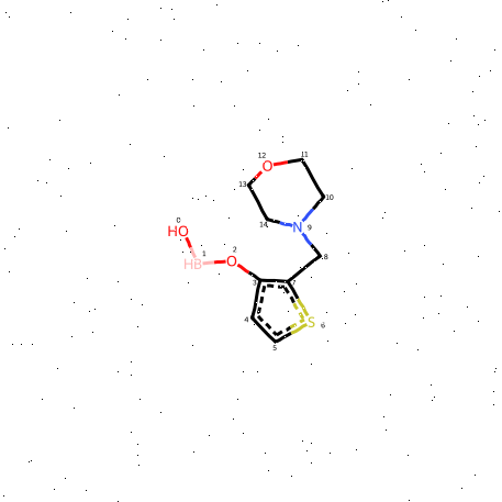 OBOc1ccsc1CN1CCOCC1